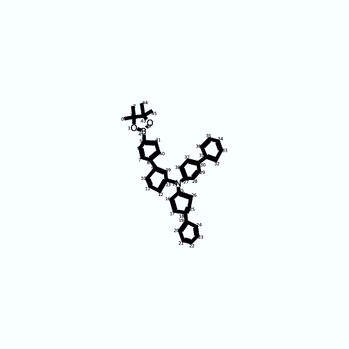 CC1(C)OB(c2ccc(-c3cccc(N(c4ccc(-c5ccccc5)cc4)c4ccc(-c5ccccc5)cc4)c3)cc2)OC1(C)C